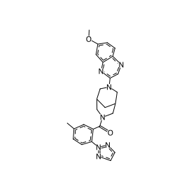 COc1ccc2ncc(N3CC4CC(CN(C(=O)c5cc(C)ccc5-n5nccn5)C4)C3)nc2c1